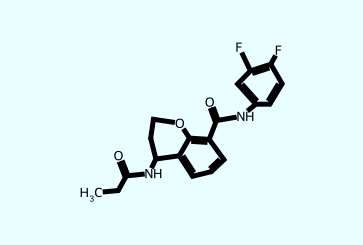 CCC(=O)NC1CCOc2c(C(=O)Nc3ccc(F)c(F)c3)cccc21